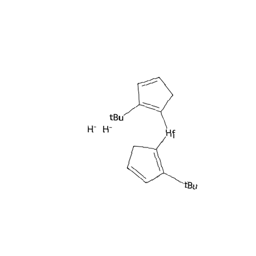 CC(C)(C)C1=[C]([Hf][C]2=C(C(C)(C)C)C=CC2)CC=C1.[H-].[H-]